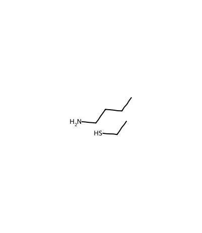 CCCCN.CCS